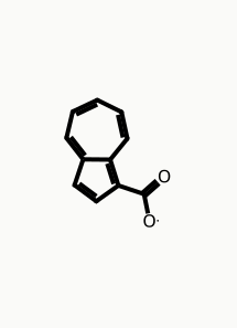 [O]C(=O)c1ccc2cccccc1-2